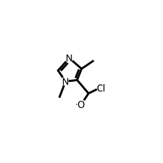 Cc1ncn(C)c1C([O])Cl